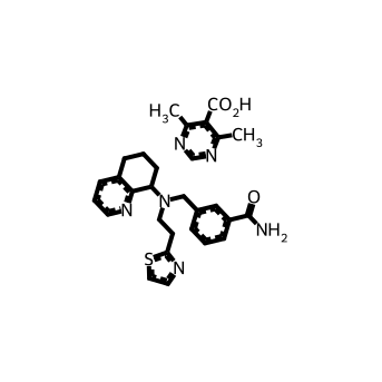 Cc1ncnc(C)c1C(=O)O.NC(=O)c1cccc(CN(CCc2nccs2)C2CCCc3cccnc32)c1